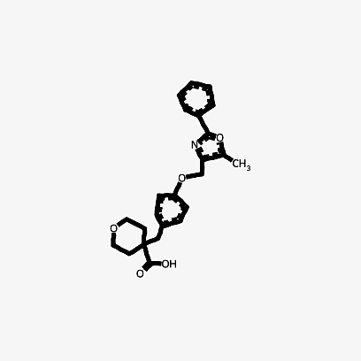 Cc1oc(-c2ccccc2)nc1COc1ccc(CC2(C(=O)O)CCOCC2)cc1